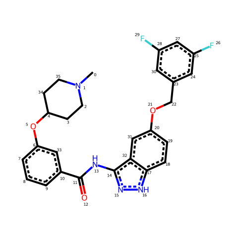 CN1CCC(Oc2cccc(C(=O)Nc3n[nH]c4ccc(OCc5cc(F)cc(F)c5)cc34)c2)CC1